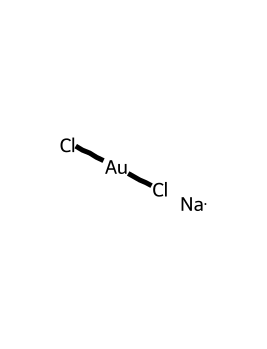 [Cl][Au][Cl].[Na]